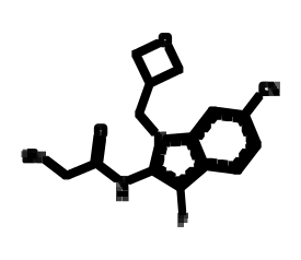 CC(C)(C)CC(=O)Nc1c(F)c2ccc(C#N)cc2n1CC1COC1